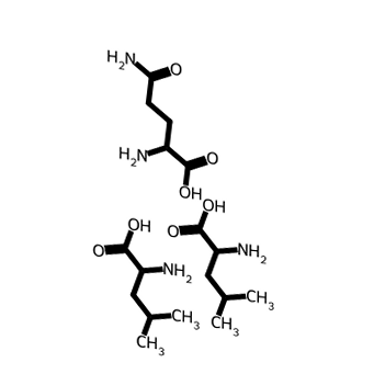 CC(C)CC(N)C(=O)O.CC(C)CC(N)C(=O)O.NC(=O)CCC(N)C(=O)O